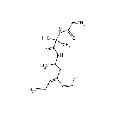 C=C/C=C(\C=C/O)CC(NC(=O)C(C)(C)NC(=O)C=C)C(=O)O